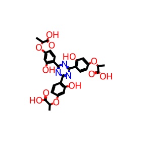 CC(Oc1ccc(-c2nc(-c3ccc(OC(C)C(=O)O)cc3O)nc(-c3ccc(OC(C)C(=O)O)cc3O)n2)c(O)c1)C(=O)O